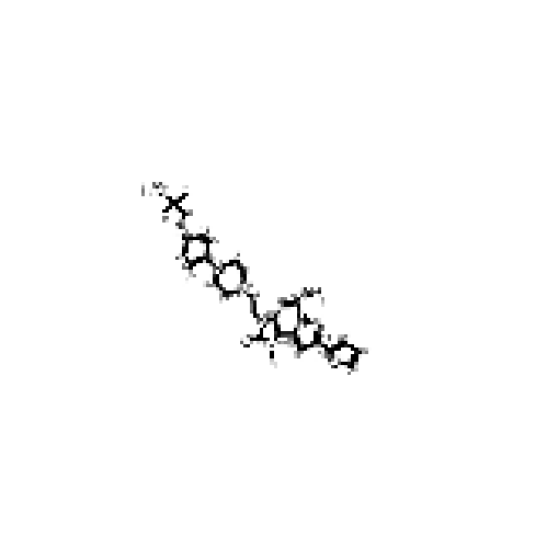 Cn1c(=O)n(CCN2CCN(c3ccc(OCC(C)(C)O)cc3F)CC2)c2nc(N)n3nc(-c4ccco4)cc3c21